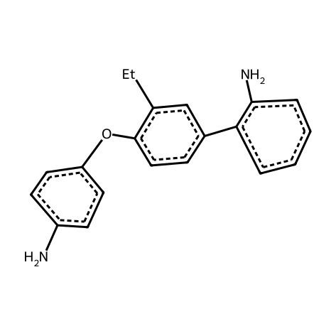 CCc1cc(-c2ccccc2N)ccc1Oc1ccc(N)cc1